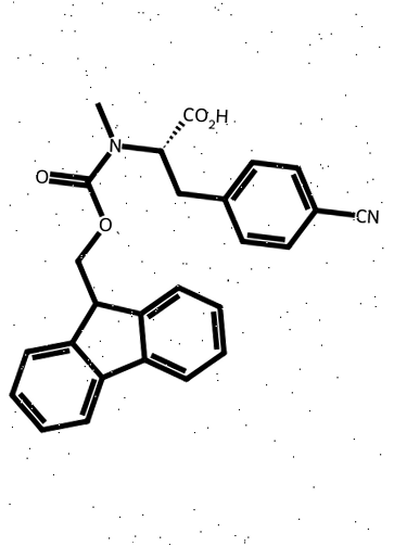 CN(C(=O)OCC1c2ccccc2-c2ccccc21)[C@@H](Cc1ccc(C#N)cc1)C(=O)O